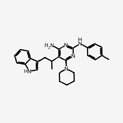 Cc1ccc(Nc2nc(N)c(C(C)Cc3c[nH]c4ccccc34)c(N3CCCCC3)n2)cc1